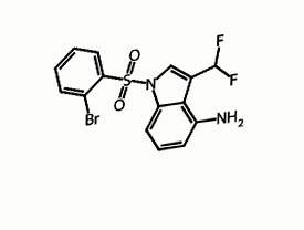 Nc1cccc2c1c(C(F)F)cn2S(=O)(=O)c1ccccc1Br